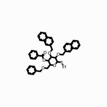 CCSC1OC(COCc2ccccc2)C(OC(=O)c2ccccc2)C(OCc2ccc3ccccc3c2)C1OCc1ccc2ccccc2c1